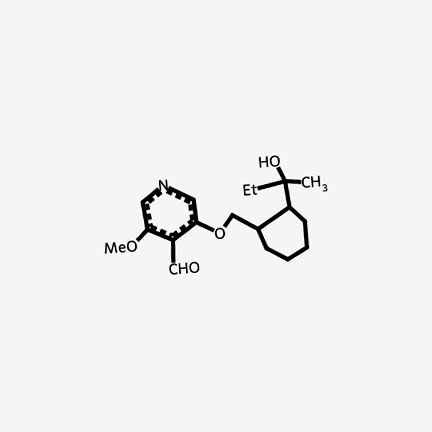 CCC(C)(O)C1CCCCC1COc1cncc(OC)c1C=O